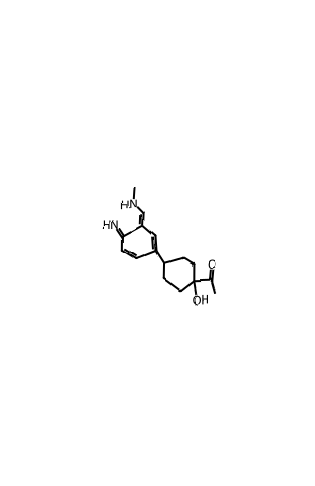 CN/C=C1/C=C(C2CCC(O)(C(C)=O)CC2)C=CC1=N